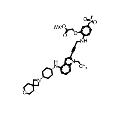 COC(=O)COc1cc(S(C)(=O)=O)ccc1NCC#Cc1cc2c(N[C@H]3CC[C@@H](N4CC5(CCOCC5)C4)CC3)cccc2n1CC(F)(F)F